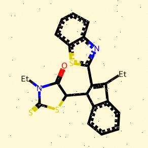 CCC1=C(c2nc3ccccc3s2)C(C2SC(=S)N(CC)C2=O)c2ccccc21